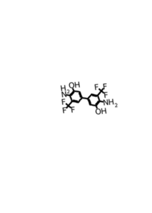 Nc1c(O)cc(-c2cc(O)c(N)c(C(F)(F)F)c2)cc1C(F)(F)F